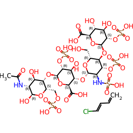 C=CC=CCl.CC(=O)N[C@@H]1[C@@H](O)[C@H](O[C@@H]2O[C@H](C(=O)O)[C@@H](O[C@@H]3O[C@H](CO)[C@@H](O[C@H]4O[C@@H](C(=O)O)[C@H](O)[C@@H](O)[C@@H]4OS(=O)(=O)O)[C@H](OS(=O)(=O)O)[C@H]3NS(=O)(=O)O)[C@H](O)[C@H]2OS(=O)(=O)O)[C@H](COS(=O)(=O)O)O[C@H]1O